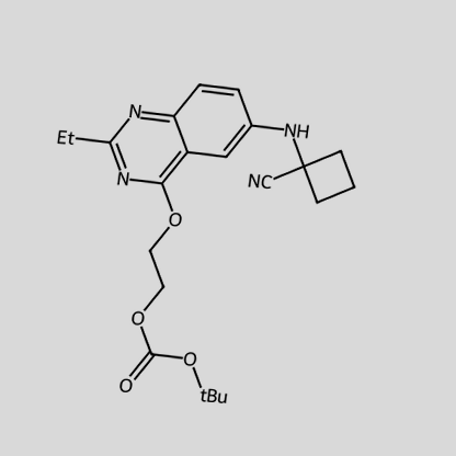 CCc1nc(OCCOC(=O)OC(C)(C)C)c2cc(NC3(C#N)CCC3)ccc2n1